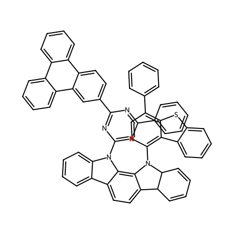 C1=CC2c3ccc4c5ccccc5n(-c5nc(-c6ccccc6)nc(-c6ccc7c8ccccc8c8ccccc8c7c6)n5)c4c3N(c3ccc(-c4ccccc4)c4sc5ccccc5c34)C2C=C1